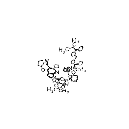 CC(C)C(=O)OCOC(=O)[C@H](C)N[P@@](=O)(COC[C@H]1O[C@@H](n2ccc3c(OC4CCCC4)c(C#N)c(Cl)nc32)[C@@H]2OC(C)(C)O[C@@H]21)Oc1ccccc1